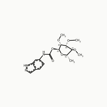 CO[C@@H]1[C@@H](OC)[C@H](C)O[C@@H](OC(=O)Nc2ccc3cn[nH]c3c2)[C@@H]1OC